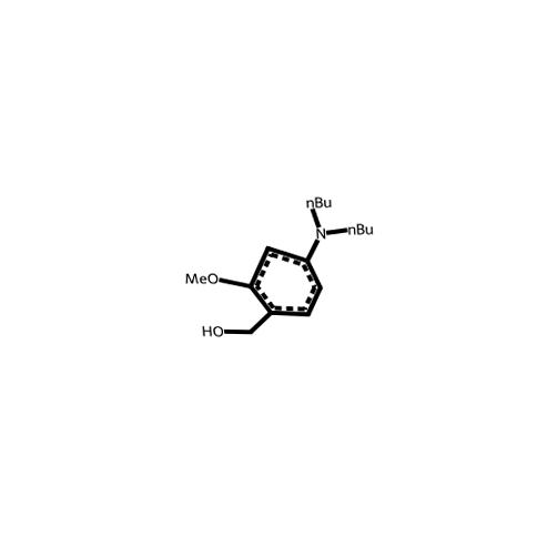 CCCCN(CCCC)c1ccc(CO)c(OC)c1